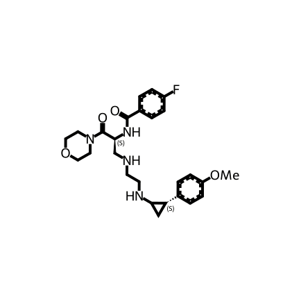 COc1ccc([C@@H]2CC2NCCNC[C@H](NC(=O)c2ccc(F)cc2)C(=O)N2CCOCC2)cc1